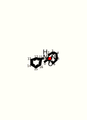 CN1CC2CC(C1)N2C(=O)Nc1ccccc1